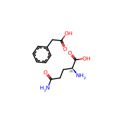 NC(=O)CC[C@H](N)C(=O)O.O=C(O)Cc1ccccc1